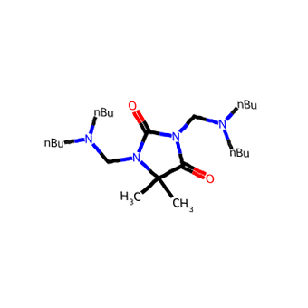 CCCCN(CCCC)CN1C(=O)N(CN(CCCC)CCCC)C(C)(C)C1=O